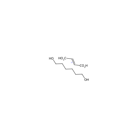 O=C(O)/C=C/C(=O)O.OCCCCCCO